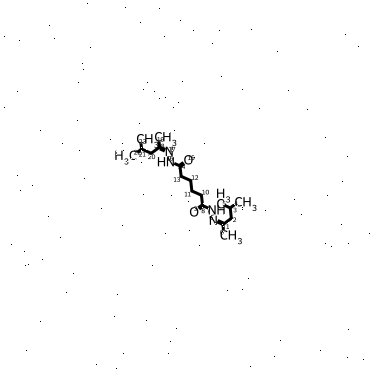 CC(CC(C)C)=NNC(=O)CCCCC(=O)NN=C(C)CC(C)C